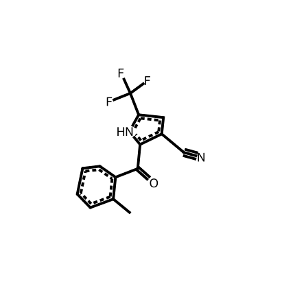 Cc1ccccc1C(=O)c1[nH]c(C(F)(F)F)cc1C#N